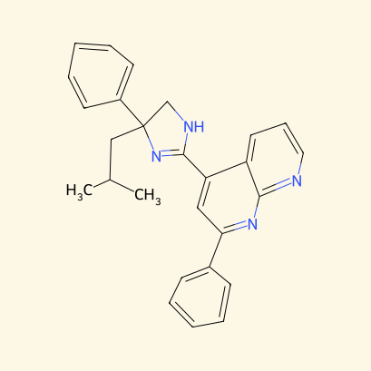 CC(C)CC1(c2ccccc2)CNC(c2cc(-c3ccccc3)nc3ncccc23)=N1